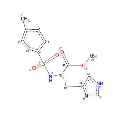 Cc1ccc(S(=O)(=O)N[C@@H](Cc2c[nH]cn2)C(=O)OC(C)(C)C)cc1